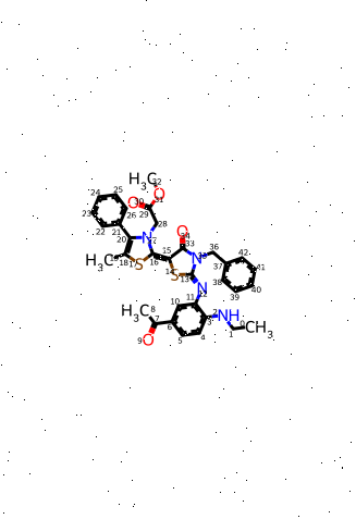 CCNc1ccc(C(C)=O)cc1N=C1S/C(=C2\SC(C)=C(c3ccccc3)N2CC(=O)OC)C(=O)N1Cc1ccccc1